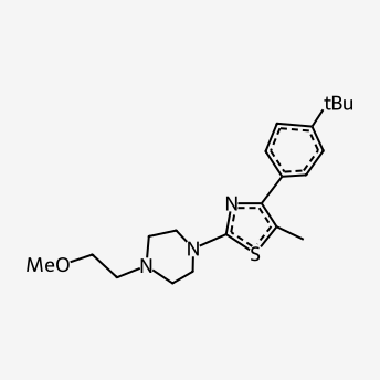 COCCN1CCN(c2nc(-c3ccc(C(C)(C)C)cc3)c(C)s2)CC1